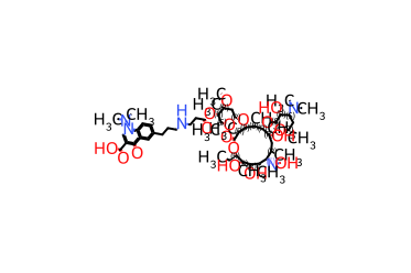 CC[C@H]1OC(=O)[C@H](C)[C@@H](O[C@H]2C[C@@](C)(OC)[C@@H](OC(=O)CCNCCCc3ccc4c(c3)c(=O)c(C(=O)O)cn4N(C)C)[C@H](C)O2)[C@H](C)[C@@H](O[C@@H]2O[C@H](C)C[C@H](N(C)C)[C@H]2O)[C@](C)(O)C[C@@H](C)/C(=N\O)C(C)[C@@H](O)[C@]1(C)O